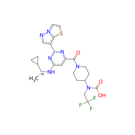 C[C@@H](Nc1cc(C(=O)N2CCC(N(CC(F)(F)F)C(=O)O)CC2)nc(-c2cnn3ccsc23)n1)C1CC1